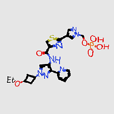 CCO[C@H]1C[C@@H](n2cc(NC(=O)c3csc(-c4cnn(COP(=O)(O)O)c4)n3)c(-c3ccccn3)n2)C1